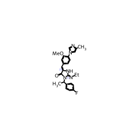 CC/N=C1\N/C(=C\c2ccc(-n3cnc(C)c3)c(OC)c2)C(=O)N1C(C)c1ccc(F)cc1